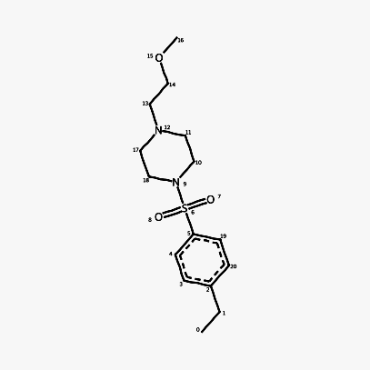 CCc1ccc(S(=O)(=O)N2CCN(CCOC)CC2)cc1